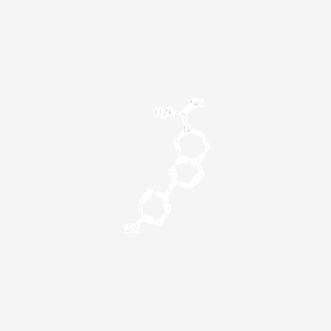 CC(C)(C)c1ccc(-c2ccc3c(c2)CN(C(=N)N)CC3)cc1